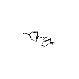 O=C1C=C(Nc2ccc(Br)cc2)OC1